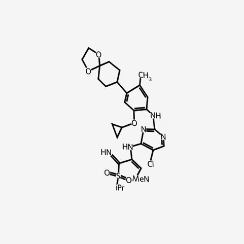 CN/C=C(/Nc1nc(Nc2cc(C)c(C3CCC4(CC3)OCCO4)cc2OC2CC2)ncc1Cl)C(=N)S(=O)(=O)C(C)C